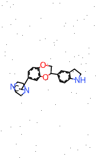 c1cc2c(cc1C1COc3ccc(C4CN5CCN4CC5)cc3O1)CCN2